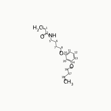 C=CC(=O)NCCCCOc1cccc(OCCCC)c1